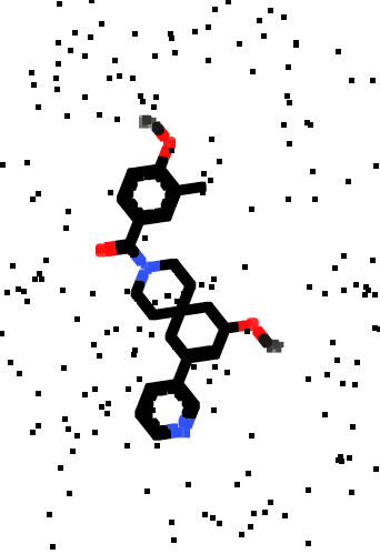 Cc1cc(C(=O)N2CCC3(CC2)CC(c2cccnc2)=CC(OC(C)C)C3)ccc1OC(C)C